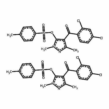 Cc1ccc(S(=O)(=O)Oc2c(C(=O)c3ccc(Cl)cc3Cl)c(C)nn2C)cc1.Cc1ccc(S(=O)(=O)Oc2c(C(=O)c3ccc(Cl)cc3Cl)c(C)nn2C)cc1